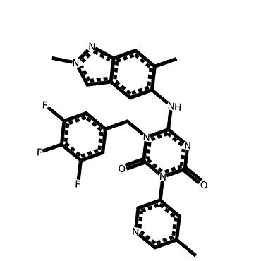 Cc1cncc(-n2c(=O)nc(Nc3cc4cn(C)nc4cc3C)n(Cc3cc(F)c(F)c(F)c3)c2=O)c1